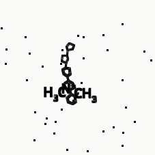 Cc1ccccc1-c1ccc(-c2ccc(C3CCC(C4CCCC4)C3)cc2)c[n+]1C